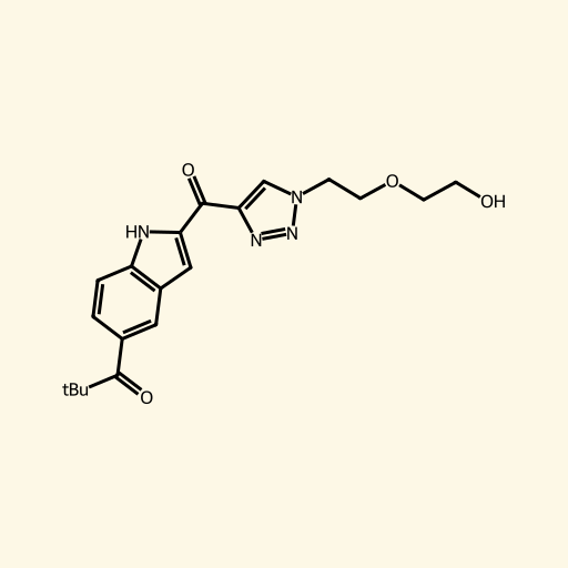 CC(C)(C)C(=O)c1ccc2[nH]c(C(=O)c3cn(CCOCCO)nn3)cc2c1